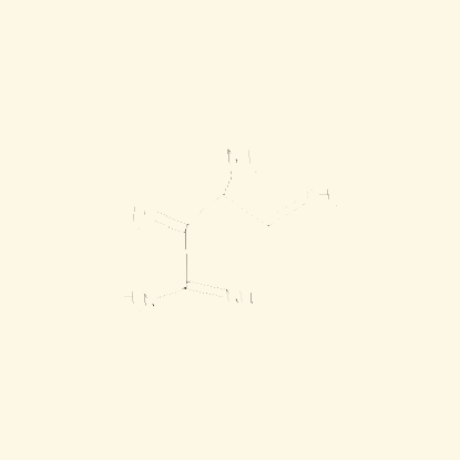 C=CC(N)C(=C)C(=N)N